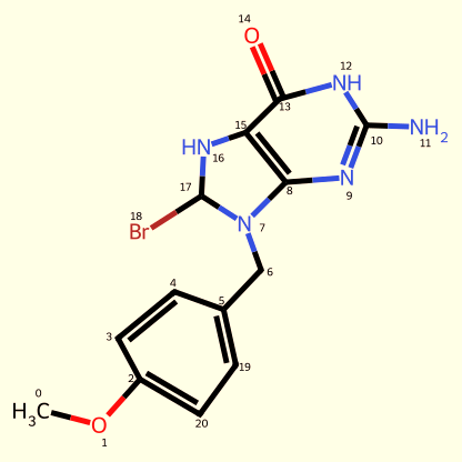 COc1ccc(CN2c3nc(N)[nH]c(=O)c3NC2Br)cc1